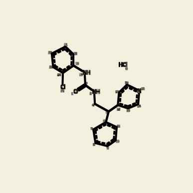 Cl.O=C(NCC(c1ccccc1)c1ccncc1)Nc1ccccc1Cl